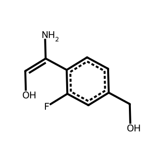 N/C(=C/O)c1ccc(CO)cc1F